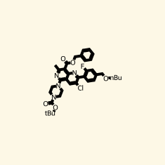 CCCCOCc1ccc(-c2nc3c(C(=O)OCc4ccccc4)c(C)nc(N4CCN(C(=O)OC(C)(C)C)CC4)c3cc2Cl)c(F)c1